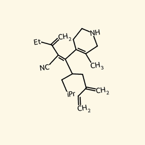 C=CC(=C)CC(CC(C)C)/C(C1=C(C)CNCC1)=C(\C#N)C(=C)CC